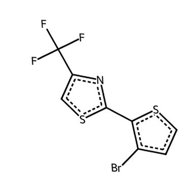 FC(F)(F)c1csc(-c2sccc2Br)n1